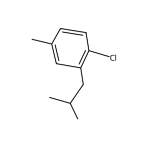 Cc1ccc(Cl)c(CC(C)C)c1